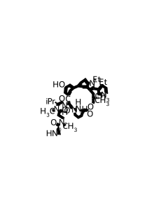 CCc1ccncc1-c1c2c3cc(ccc3n1CC)-c1cc(O)cc(c1)C[C@H](NC(=O)[C@H](C(C)C)N(C)C(=O)CCN(C)C(=O)[C@H]1CN1)C(=O)N1CCC[C@H](N1)C(=O)OCC(C)(C)C2